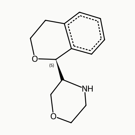 c1ccc2c(c1)CCO[C@@H]2C1COCCN1